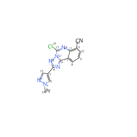 CC(C)n1cc(-c2nc3c4cccc(C#N)c4nc(Cl)n3n2)cn1